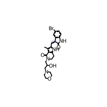 Cc1c(/C=C2\C(=O)Nc3ccc(Br)cc32)[nH]c2c1C(=O)N(CC(O)CN1CCOCC1)CC2